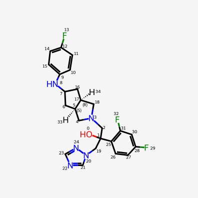 OC(CN1C[C@H]2CC(Nc3ccc(F)cc3)C[C@H]2C1)(Cn1cncn1)c1ccc(F)cc1F